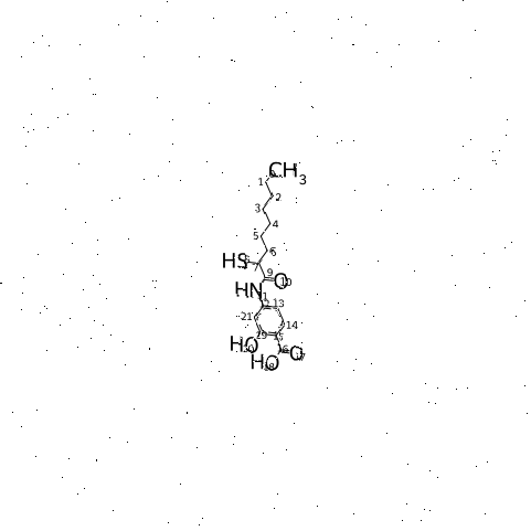 CCCCCCCC(S)C(=O)Nc1ccc(C(=O)O)c(O)c1